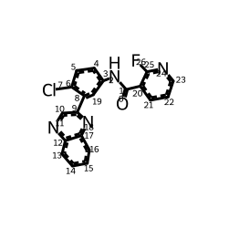 O=C(Nc1ccc(Cl)c(-c2cnc3ccccc3n2)c1)c1cccnc1F